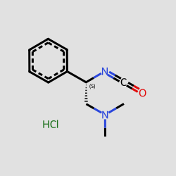 CN(C)C[C@@H](N=C=O)c1ccccc1.Cl